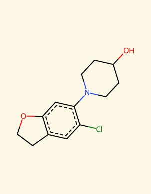 OC1CCN(c2cc3c(cc2Cl)CCO3)CC1